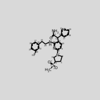 CS(=O)(=O)C1CCN(c2ccc(C(C(N)=O)c3cccnc3)c(NCCc3cccc(F)c3)n2)C1